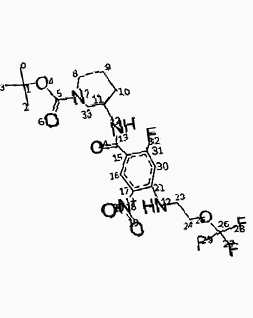 CC(C)(C)OC(=O)N1CCCC(NC(=O)c2cc([N+](=O)[O-])c(NCCOC(F)(F)F)cc2F)C1